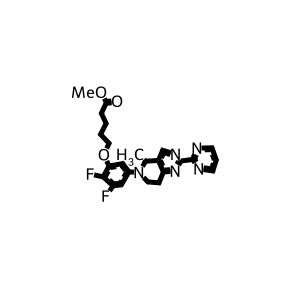 COC(=O)CCCCOc1cc(N2CCc3nc(-c4ncccn4)ncc3C2C)cc(F)c1F